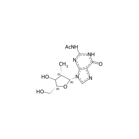 CC(=O)Nc1nc2c(ncn2[C@@H]2O[C@H](CO)C(O)[C@@H]2C)c(=O)[nH]1